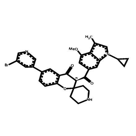 COc1cc(C(=O)[C@@H]2C(=O)c3cc(-c4cncc(Br)c4)ccc3OC23CCNCC3)cc2c1c(C)cn2C1CC1